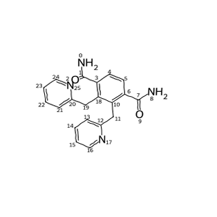 NC(=O)c1ccc(C(N)=O)c(Cc2ccccn2)c1Cc1ccccn1